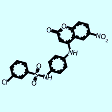 O=c1cc(Nc2ccc(NS(=O)(=O)c3cccc(Cl)c3)cc2)c2cc([N+](=O)[O-])ccc2o1